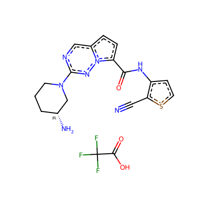 N#Cc1sccc1NC(=O)c1ccc2cnc(N3CCC[C@@H](N)C3)nn12.O=C(O)C(F)(F)F